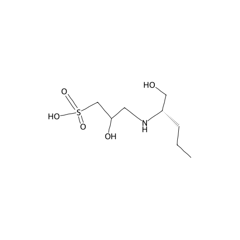 CCC[C@@H](CO)NCC(O)CS(=O)(=O)O